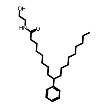 CCCCCCCCCC(CCCCCCCC(=O)NCCO)c1ccccc1